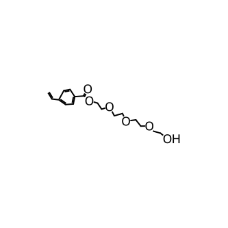 C=Cc1ccc(C(=O)OCCOCCOCCOCCO)cc1